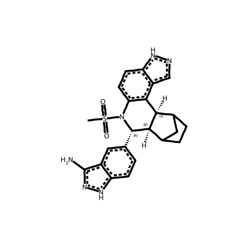 CS(=O)(=O)N1c2ccc3[nH]ncc3c2[C@H]2C3CCC(C3)[C@H]2[C@@H]1c1ccc2[nH]nc(N)c2c1